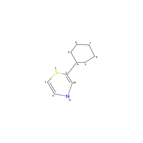 C1=CSC(C2CCCCC2)=C[N]1